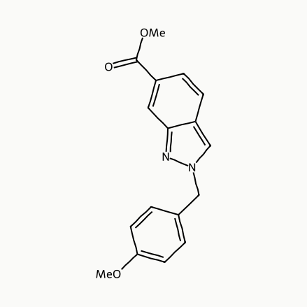 COC(=O)c1ccc2cn(Cc3ccc(OC)cc3)nc2c1